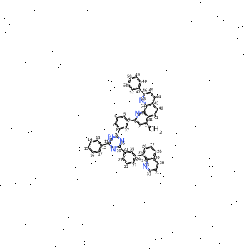 Cc1cc(-c2cccc(-c3nc(-c4ccccc4)nc(-c4cccc(-c5cccc6cccnc56)c4)n3)c2)nc2c1ccc1ccc(-c3ccccc3)nc12